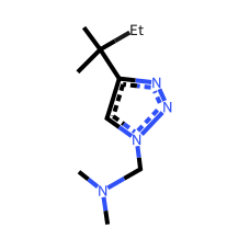 CCC(C)(C)c1cn(CN(C)C)nn1